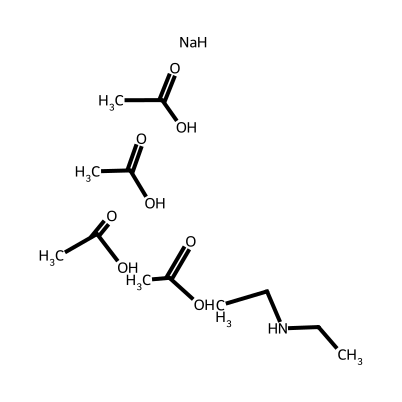 CC(=O)O.CC(=O)O.CC(=O)O.CC(=O)O.CCNCC.[NaH]